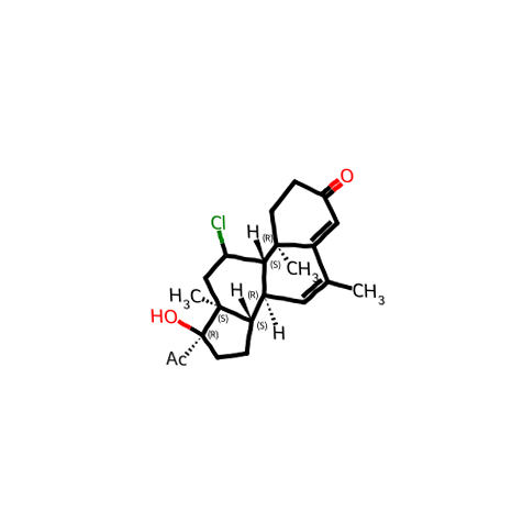 CC(=O)[C@@]1(O)CC[C@H]2[C@@H]3C=C(C)C4=CC(=O)CC[C@]4(C)[C@H]3C(Cl)C[C@@]21C